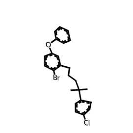 CC(C)(CCCc1cc(Oc2ccccc2)ccc1Br)c1ccc(Cl)cc1